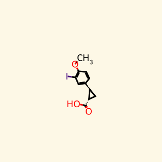 COc1ccc([C@H]2C[C@@H]2C(=O)O)cc1I